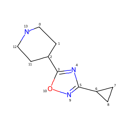 C1CC(c2nc(C3CC3)no2)CC[N]1